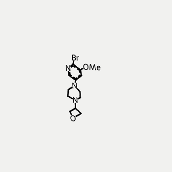 COc1cc(N2CCN(C3COC3)CC2)cnc1Br